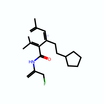 C=C(C)/C=C(/CCC1CCCC1)C(C(=O)NC(=C)CF)=C(C)C